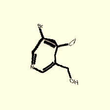 OCc1cncc(Br)c1Cl